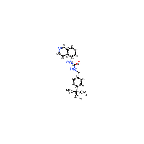 CC(C)(C)c1ccc(CNC(=O)Nc2cccc3cnccc23)cc1